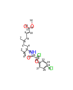 C=C(C)C(CCC(C)CC=CC(=O)OC)NC(=O)C(Cl)Oc1ccc(Cl)cc1